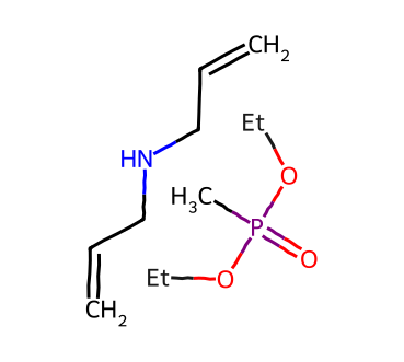 C=CCNCC=C.CCOP(C)(=O)OCC